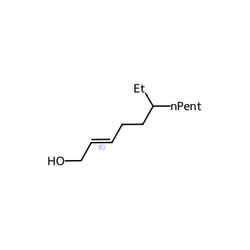 CCCCCC(CC)CC/C=C/CO